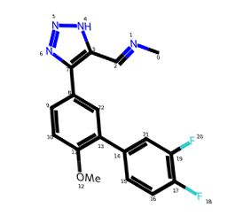 C/N=C/c1[nH]nnc1-c1ccc(OC)c(-c2ccc(F)c(F)c2)c1